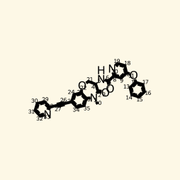 CN1C(=O)[C@@H](NC(=O)c2cc(Oc3ccccc3)ccn2)COc2cc(C#Cc3ccccn3)ccc21